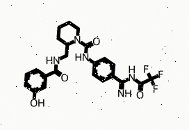 N=C(NC(=O)C(F)(F)F)c1ccc(NC(=O)N2CCCCC2CNC(=O)c2cccc(O)c2)cc1